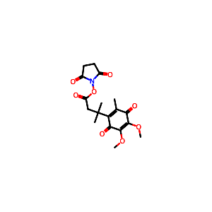 COC1=C(OC)C(=O)C(C(C)(C)CC(=O)ON2C(=O)CCC2=O)=C(C)C1=O